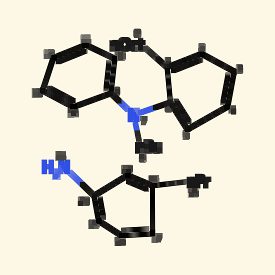 CCCCCCCCc1ccccc1N(CCCC)c1ccccc1.CCCc1cccc(N)c1